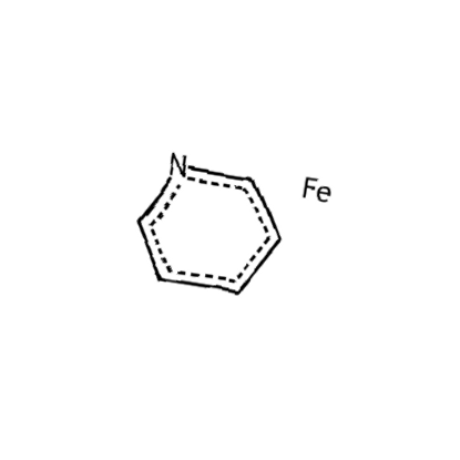 [Fe].c1ccncc1